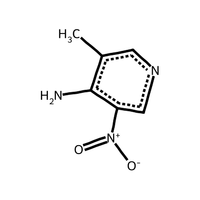 Cc1cncc([N+](=O)[O-])c1N